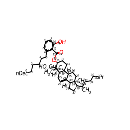 CCCCCCCCCCCCCCCc1cccc(O)c1C(=O)O[C@H]1CC[C@@]2(C)[C@@H](CC=C3[C@@H]2CC[C@]2(C)[C@@H]([C@H](C)CCCC(C)C)CC[C@@H]32)[C@@]1(C)C(=O)O